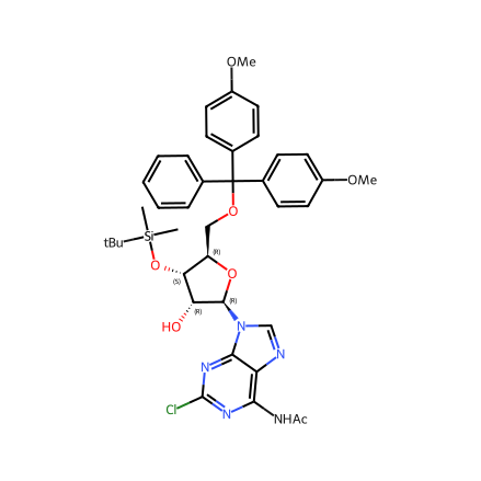 COc1ccc(C(OC[C@H]2O[C@@H](n3cnc4c(NC(C)=O)nc(Cl)nc43)[C@H](O)[C@@H]2O[Si](C)(C)C(C)(C)C)(c2ccccc2)c2ccc(OC)cc2)cc1